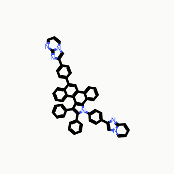 c1ccc(-c2c(-c3ccccc3)n(-c3ccc(-c4cn5ccccc5n4)cc3)c3c4ccccc4c4cc(-c5ccc(-c6cn7cccnc7n6)cc5)c5ccccc5c4c23)cc1